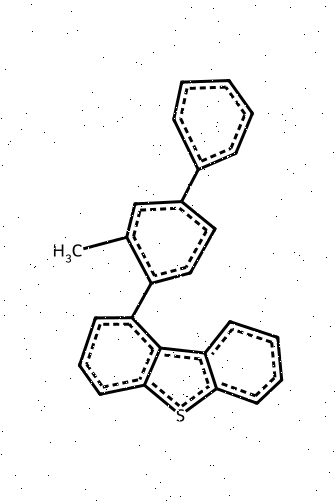 Cc1cc(-c2ccccc2)ccc1-c1cccc2sc3ccccc3c12